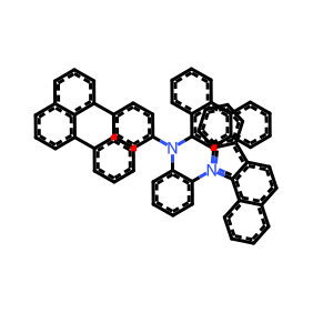 c1ccc(-c2cccc3cccc(-c4ccc(N(c5ccccc5-n5c6ccccc6c6ccc7ccccc7c65)c5cc6ccccc6c6ccccc56)cc4)c23)cc1